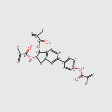 C=C(C)C(=O)Oc1ccc(-c2ccc3c(c2)CC(OC(=O)C(=C)C)C3OC(=O)C(=C)C)cc1